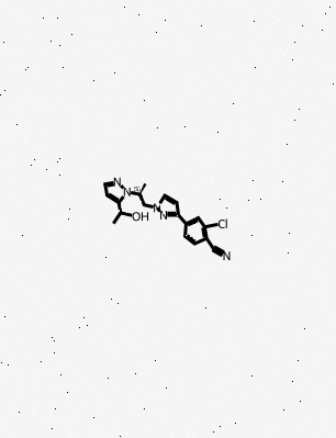 CC(O)c1ccnn1[C@@H](C)Cn1ccc(-c2ccc(C#N)c(Cl)c2)n1